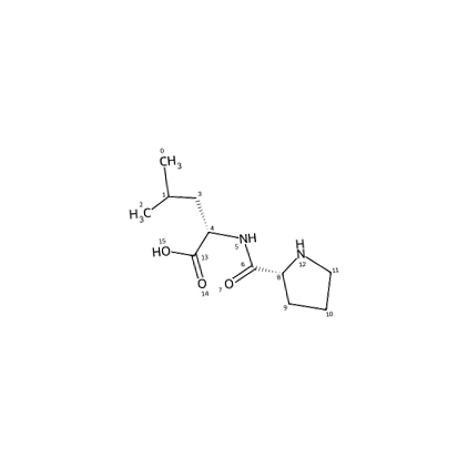 CC(C)C[C@H](NC(=O)[C@H]1CCCN1)C(=O)O